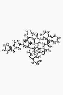 c1cc(-c2ccc3oc4cccc(-c5nc(-c6ccc7c(c6)sc6ccccc67)nc(-c6ccc7c(c6)sc6ccccc67)n5)c4c3c2)c2c(c1)oc1ccc(-n3c4ccccc4c4ccccc43)cc12